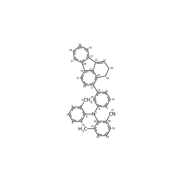 Cc1ccccc1N(c1cccc(-c2ccc3c4c2CCC=C4c2ccccc2-3)c1)c1c(C)cccc1C#N